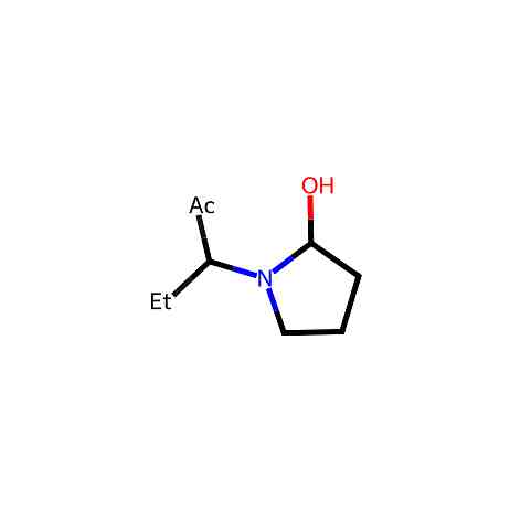 CCC(C(C)=O)N1CCCC1O